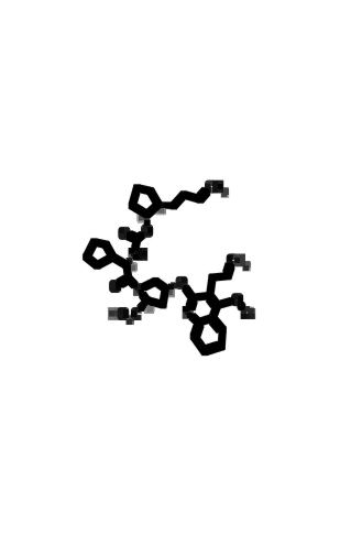 C=CCC[C@@H]1CCC[C@H]1OC(=O)N[C@H](C(=O)N1C[C@H](Oc2nc3ccccc3c(OCC)c2CC=C)C[C@H]1C(=O)O)C1CCCC1